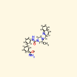 CC1CN(C(=O)Nc2cccc(-c3cccc(C(N)=O)c3)c2)CCN1Cc1ccc2ccccc2n1